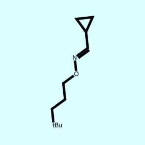 CC(C)(C)CCCO/N=C/C1CC1